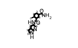 Cc1ccc(C(N)=O)cc1C(=O)Nc1cnc2[nH]ccc2c1